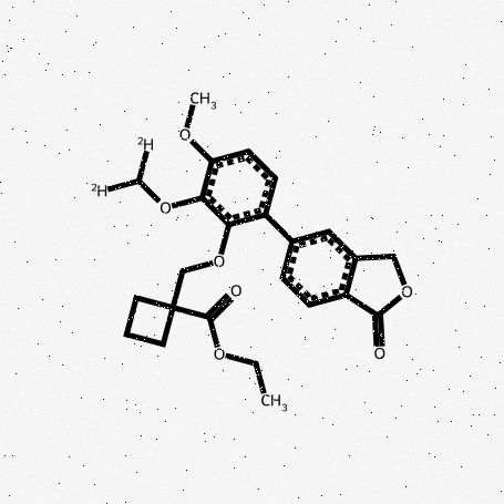 [2H]C([2H])Oc1c(OC)ccc(-c2ccc3c(c2)COC3=O)c1OCC1(C(=O)OCC)CCC1